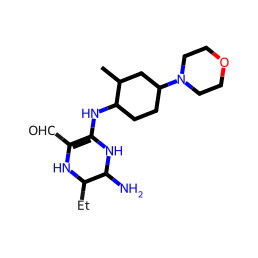 CCC1NC(C=O)=C(NC2CCC(N3CCOCC3)CC2C)NC1N